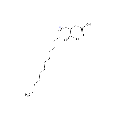 CCCCCCCCCCCC/C=C\C(CC(=O)O)C(=O)O